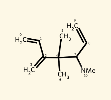 C=CC(=C)C(C)(C)C(C=C)NC